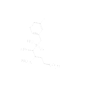 CCCC(C(CCC(=O)O)C(=O)O)P(=O)(O)Cc1cccc(C)c1